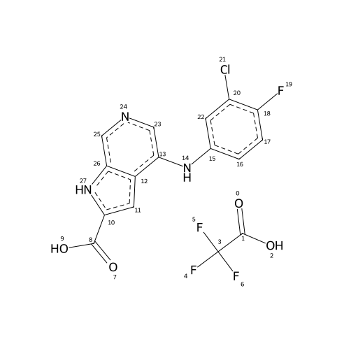 O=C(O)C(F)(F)F.O=C(O)c1cc2c(Nc3ccc(F)c(Cl)c3)cncc2[nH]1